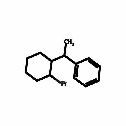 CC(C)C1CCCCC1C(C)c1ccccc1